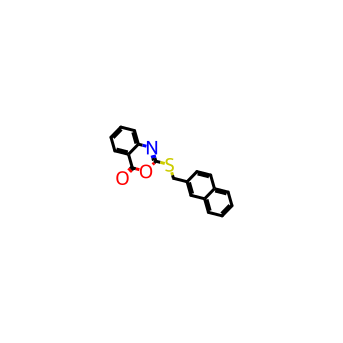 O=c1oc(SCc2ccc3ccccc3c2)nc2ccccc12